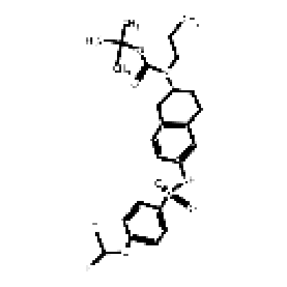 CCCN(C(=O)OC(C)(C)C)[C@H]1CCc2cc(NS(=O)(=O)c3ccc(OC(F)F)cc3)ccc2C1